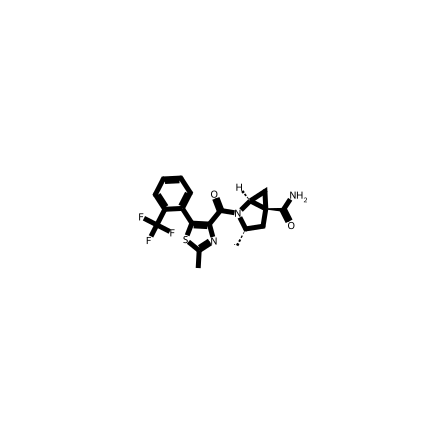 [CH2][C@H]1C[C@@]2(C(N)=O)C[C@@H]2N1C(=O)c1nc(C)sc1-c1ccccc1C(F)(F)F